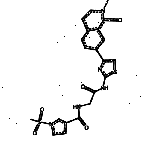 Cn1ccc2ccc(-c3csc(NC(=O)CNC(=O)c4ccn(S(C)(=O)=O)c4)n3)cc2c1=O